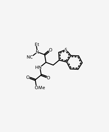 CCN(C#N)C(=O)C(Cc1csc2ccccc12)NC(=O)C(=O)OC